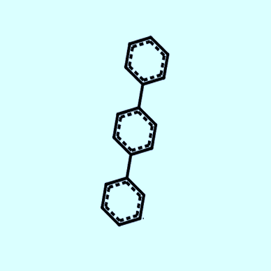 [c]1cccc(-c2ccc(-c3ccccc3)cc2)c1